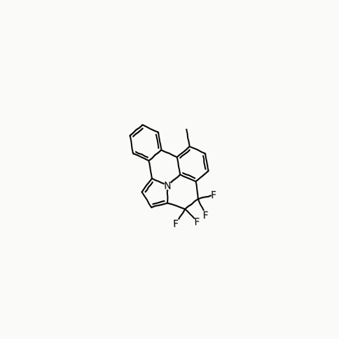 Cc1ccc2c3c1c1ccccc1c1ccc(n13)C(F)(F)C2(F)F